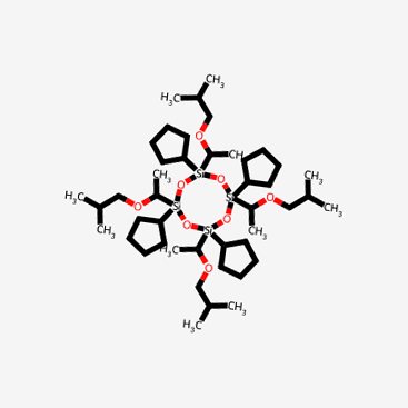 CC(C)COC(C)[Si]1(C2CCCC2)O[Si](C2CCCC2)(C(C)OCC(C)C)O[Si](C2CCCC2)(C(C)OCC(C)C)O[Si](C2CCCC2)(C(C)OCC(C)C)O1